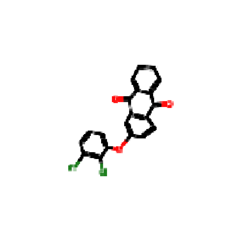 O=C1c2c[c]ccc2C(=O)c2cc(Oc3cccc(Cl)c3Cl)ccc21